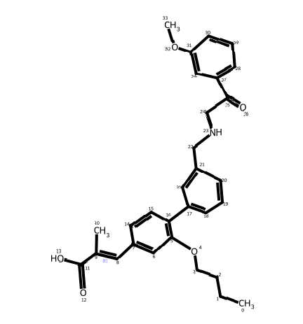 CCCCOc1cc(/C=C(\C)C(=O)O)ccc1-c1cccc(CNCC(=O)c2cccc(OC)c2)c1